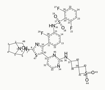 CN1C2CCC1CN(c1nc(-c3cccc(NS(=O)(=O)c4c(F)cccc4F)c3F)c(-c3ccnc(NC4CC5(C4)CS(=O)(=O)C5)n3)s1)C2